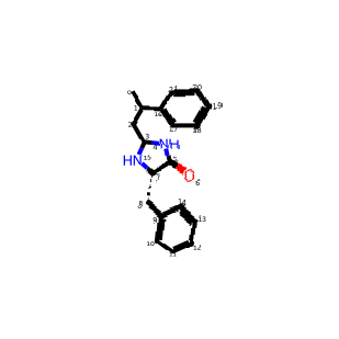 CC(CC1NC(=O)[C@H](Cc2ccccc2)N1)c1ccccc1